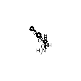 NCC(=O)N[C@@H]1CN[C@@H](C(=O)Nc2ccc(OCc3ccccc3)cc2)C1